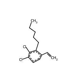 C=Cc1ccc(Cl)c(Cl)c1CCCCC